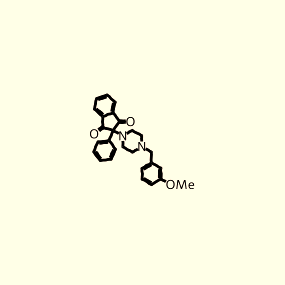 COc1cccc(CN2CCN(C3(c4ccccc4)C(=O)c4ccccc4C3=O)CC2)c1